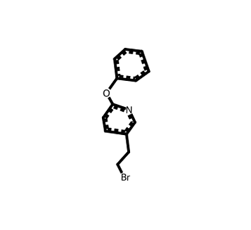 BrCCc1ccc(Oc2ccccc2)nc1